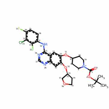 CC(C)(C)OC(=O)N1CCC(Oc2cc3c(Nc4ccc(F)c(Cl)c4F)ncnc3cc2O[C@H]2CCOC2)CC1